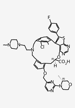 Cc1c2ccc(c1Cl)CN(CCN1CCN(C)CC1)Cc1ccc(OCc3ccnc(N4CCOC[C@H]4C)n3)c(c1)C[C@H](C(=O)O)Oc1ncnc3sc(-c4ccc(F)cc4)c-2c13